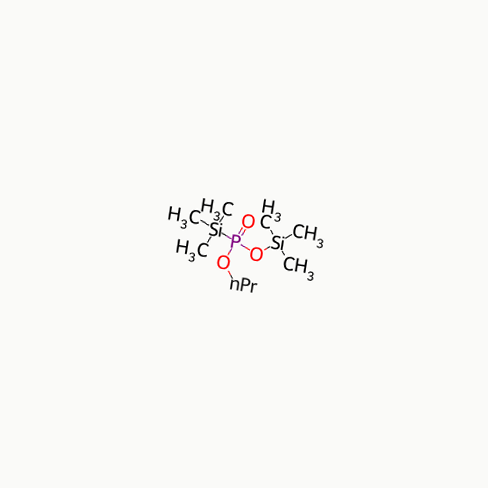 CCCOP(=O)(O[Si](C)(C)C)[Si](C)(C)C